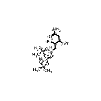 CCCC(CC(N)=O)C(C[SiH](O[SiH2]O[Si](C)(C)C)O[Si](C)(C)C)C(C)(C)C